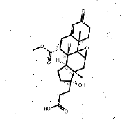 COC(=O)[C@@H]1CC2=CC(=O)CC[C@]2(C)C23OC2C[C@@]2(C)[C@@H](CC[C@]2(O)CCC(=O)O)[C@H]13